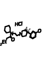 CCOC(=O)CC(=O)N(CCN1CC[C@](C)(c2cccc(O)c2)[C@@H](C)C1)C1CCCCC1.Cl